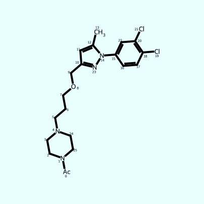 CC(=O)N1CCN(CCCOCc2cc(C)n(-c3ccc(Cl)c(Cl)c3)n2)CC1